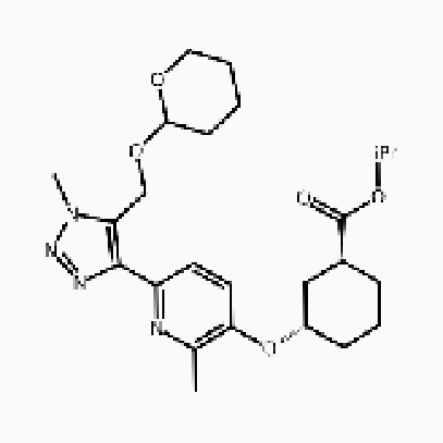 Cc1nc(-c2nnn(C)c2COC2CCCCO2)ccc1O[C@H]1CCC[C@H](C(=O)OC(C)C)C1